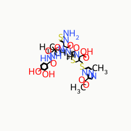 COC(=O)c1cnn2c(C)cc(SCC3=C(C(=O)O)N4C(=O)[C@@H](NC(=O)C(=NOC(C)(C)C(=O)NNC(=O)c5ccc(O)c(O)c5)c5csc(N)n5)[C@H]4SC3)nc12